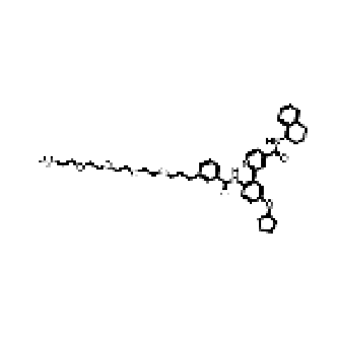 O=C(O)CCOCCOCCOCCOCCCc1cccc(C(=O)Nc2ccc(OC3CCCC3)cc2-c2cc(C(=O)NC3CCCc4ccccc43)ccn2)c1